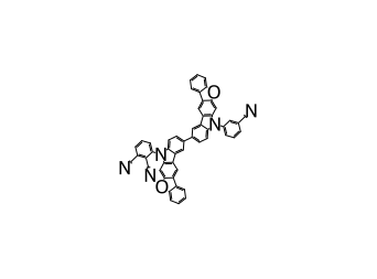 N#Cc1cccc(-n2c3ccc(-c4ccc5c(c4)c4cc6c(cc4n5-c4cccc(C#N)c4C#N)oc4ccccc46)cc3c3cc4c(cc32)oc2ccccc24)c1